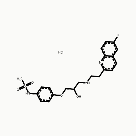 CS(=O)(=O)Nc1ccc(OCC(O)CNCCc2ccc3cc(F)ccc3n2)cc1.Cl